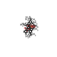 CCC(C)(C)c1cc(C(C)(C)CC)c2cc(-c3cc(C(=O)c4ccccc4)ccc3P(O)(O)(O)c3cc4c(C(C)(C)CC)cc(C(C)(C)CC)cc4cc3C(C)(C)CC)c(C(C)(C)CC)cc2c1